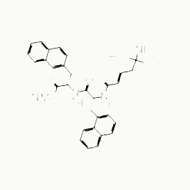 CNC(=O)[C@@H](Cc1ccc2ccccc2c1)N(C)C(=O)[C@@H](Cc1cccc2ccccc12)N(C)C(=O)C=CCC(C)(C)N